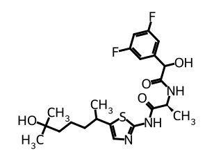 CC(CCCC(C)(C)O)c1cnc(NC(=O)[C@H](C)NC(=O)C(O)c2cc(F)cc(F)c2)s1